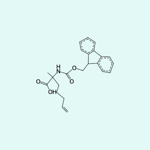 C=CCCCC(C)(NC(=O)OCC1c2ccccc2-c2ccccc21)C(=O)O